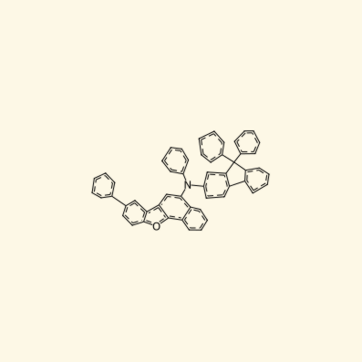 c1ccc(-c2ccc3oc4c5ccccc5c(N(c5ccccc5)c5ccc6c(c5)C(c5ccccc5)(c5ccccc5)c5ccccc5-6)cc4c3c2)cc1